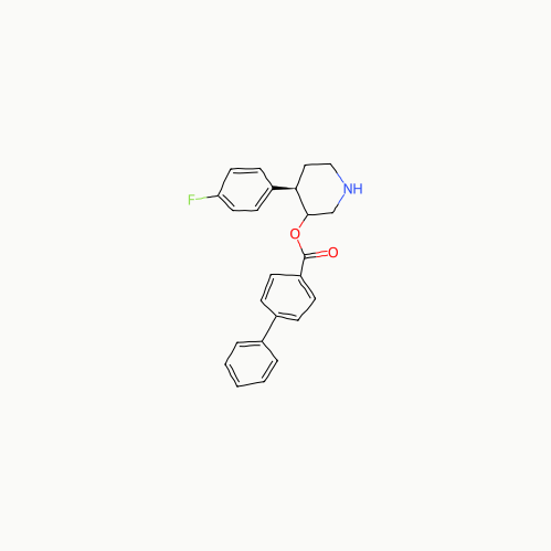 O=C(OC1CNCC[C@@H]1c1ccc(F)cc1)c1ccc(-c2ccccc2)cc1